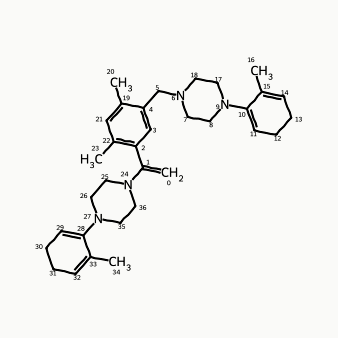 C=C(c1cc(CN2CCN(C3=CCCC=C3C)CC2)c(C)cc1C)N1CCN(C2=CCCC=C2C)CC1